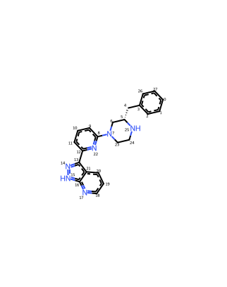 c1ccc(C[C@H]2CN(c3cccc(-c4n[nH]c5ncccc45)n3)CCN2)cc1